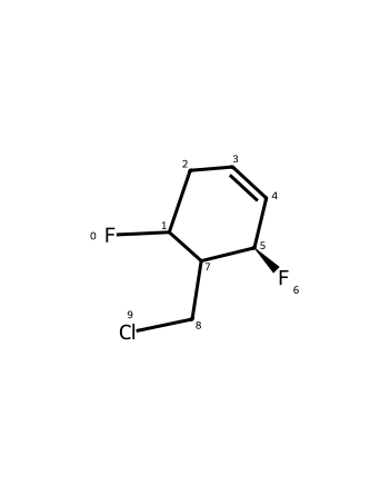 FC1CC=C[C@@H](F)C1CCl